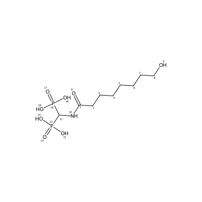 O=C(CCCCCCCO)NC(P(=O)(O)O)P(=O)(O)O